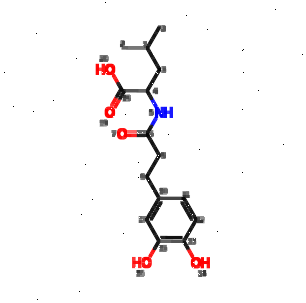 CC(C)CC(NC(=O)CCc1ccc(O)c(O)c1)C(=O)O